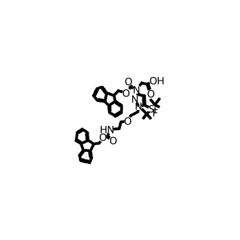 CC(C)(C)[Si](F)(c1cc(N(CC(=O)O)C(=O)OCC2c3ccccc3-c3ccccc32)nn1CCOCCNC(=O)OCC1c2ccccc2-c2ccccc21)C(C)(C)C